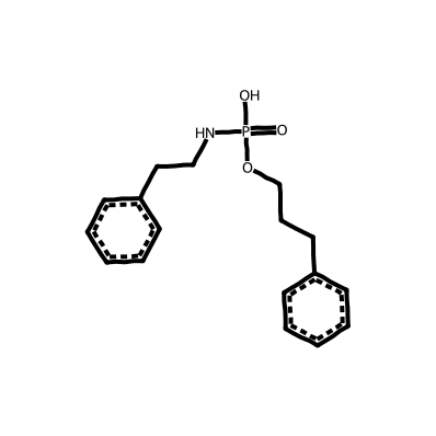 O=P(O)(NCCc1ccccc1)OCCCc1ccccc1